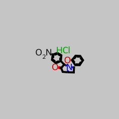 Cl.O=C1CC2CCN2C1(Oc1ccccc1)c1ccc([N+](=O)[O-])cc1